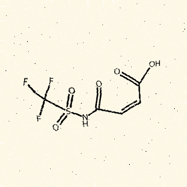 O=C(O)/C=C\C(=O)NS(=O)(=O)C(F)(F)F